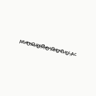 CC(=O)CCOCCOCCOCCOCCOCCOCCOCCOCCOCCC(C)=O